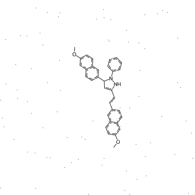 COc1ccc2cc(C=CC3=CC(c4ccc5cc(OC)ccc5c4)N(c4ccccc4)N3)ccc2c1